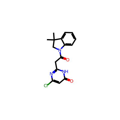 CC1(C)CN(C(=O)Cc2nc(Cl)cc(=O)[nH]2)c2ccccc21